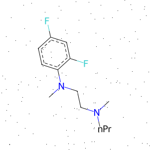 CCCN(C)CCN(C)c1ccc(F)cc1F